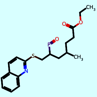 CCOC(=O)CCC(C)CC(CSc1ccc2ccccc2n1)P=O